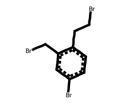 BrCCc1ccc(Br)cc1CBr